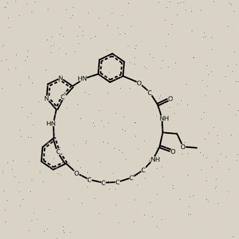 COCC1NC(=O)COc2cccc(c2)Nc2cc(ncn2)Nc2cccc(c2)OCCCCCNC1=O